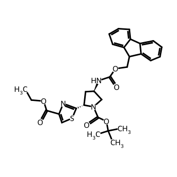 CCOC(=O)c1csc([C@@H]2C[C@@H](NC(=O)OCC3c4ccccc4-c4ccccc43)CN2C(=O)OC(C)(C)C)n1